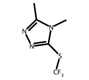 Cc1nnc(SC(F)(F)F)n1C